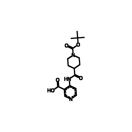 CC(C)(C)OC(=O)N1CCC(C(=O)Nc2ccncc2C(=O)O)CC1